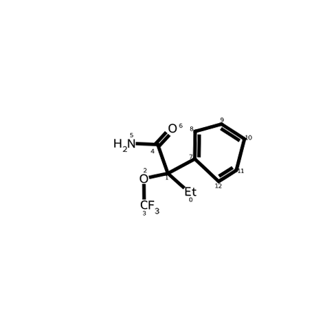 CCC(OC(F)(F)F)(C(N)=O)c1ccccc1